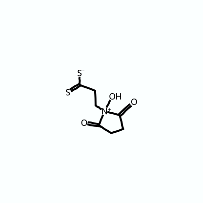 O=C1CCC(=O)[N+]1(O)CCC(=S)[S-]